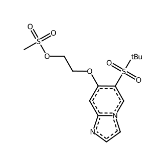 CC(C)(C)S(=O)(=O)c1cn2ccnc2cc1OCCOS(C)(=O)=O